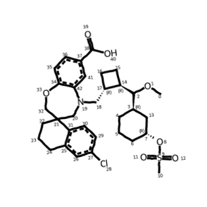 COC([C@@H]1CCC[C@@H](OS(C)(=O)=O)C1)[C@@H]1CC[C@H]1CN1CC2(CCCc3cc(Cl)ccc32)COc2ccc(C(=O)O)cc21